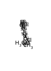 CN(C)C(=O)c1ccc(N2CCC(C3CCN(C(=O)C4(C(F)(F)F)CCCC4)CC3)CC2)cc1Cl